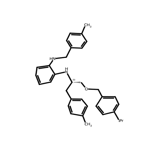 Cc1ccc(CNc2ccccc2N[C@H](COCc2ccc(C(C)C)cc2)Cc2ccc(C)cc2)cc1